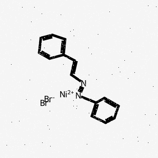 C(=Cc1ccccc1)N=Nc1ccccc1.[Br-].[Br-].[Ni+2]